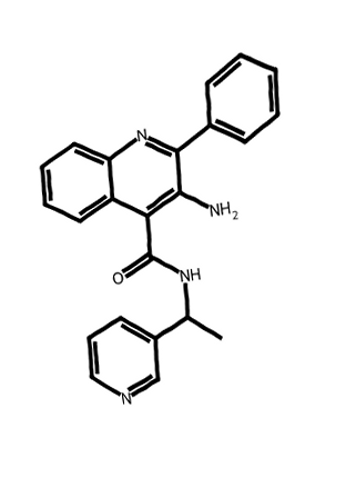 CC(NC(=O)c1c(N)c(-c2ccccc2)nc2ccccc12)c1cccnc1